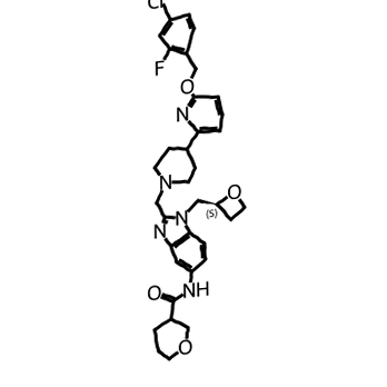 O=C(Nc1ccc2c(c1)nc(CN1CCC(c3cccc(OCc4ccc(Cl)cc4F)n3)CC1)n2C[C@@H]1CCO1)C1CCCOC1